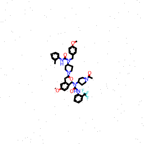 COc1ccc(CN(C(=O)Nc2ccccc2C)C2CCN(C(=O)Cc3cc(OC)ccc3CN(C(=O)Nc3ccccc3C(F)(F)F)C3CCN(C(C)=O)CC3)CC2)cc1